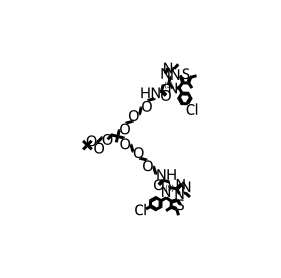 Cc1sc2c(c1C)C(c1ccc(Cl)cc1)=N[C@@H](CC(=O)NCCOCCOCCOCC(C)(COCCOCCOCCNC(=O)C[C@@H]1N=C(c3ccc(Cl)cc3)c3c(sc(C)c3C)-n3c(C)nnc31)COCC(=O)OC(C)(C)C)c1nnc(C)n1-2